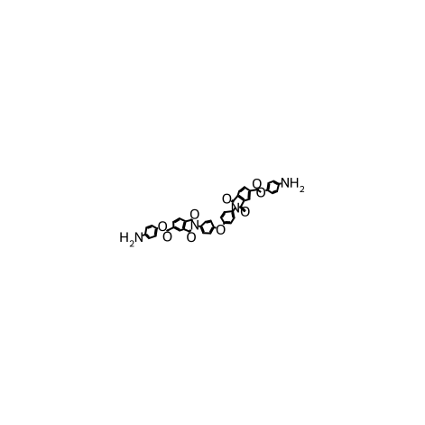 Nc1ccc(OC(=O)c2ccc3c(c2)C(=O)N(c2ccc(Oc4ccc(N5C(=O)c6ccc(C(=O)Oc7ccc(N)cc7)cc6C5=O)cc4)cc2)C3=O)cc1